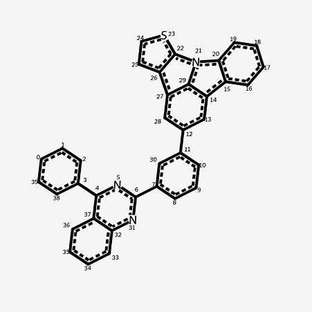 c1ccc(-c2nc(-c3cccc(-c4cc5c6ccccc6n6c7sccc7c(c4)c56)c3)nc3ccccc23)cc1